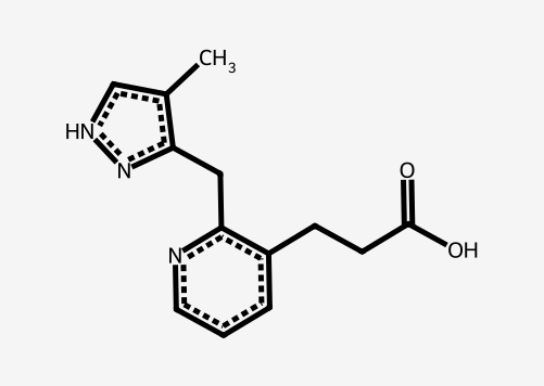 Cc1c[nH]nc1Cc1ncccc1CCC(=O)O